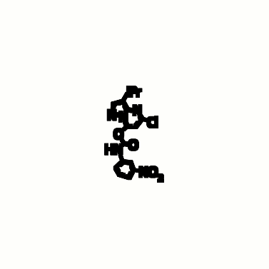 CC(C)c1cnn2c(OC(=O)Nc3cccc([N+](=O)[O-])c3)cc(Cl)nc12